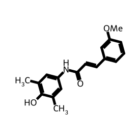 COc1cccc(C=CC(=O)Nc2cc(C)c(O)c(C)c2)c1